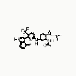 CC(=O)Nc1cc(Nc2ncc(C(F)(F)F)c(-c3c[nH]c4cccc(F)c34)n2)ccc1N(C)CCN(C)C